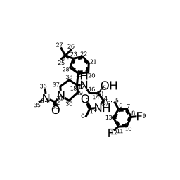 CC(=O)N[C@@H](Cc1cc(F)cc(F)c1)[C@H](O)CNC1(c2cccc(C(C)(C)C)c2)CCN(C(=O)N(C)C)CC1